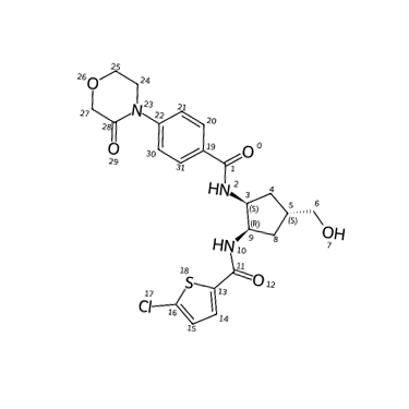 O=C(N[C@H]1C[C@H](CO)C[C@H]1NC(=O)c1ccc(Cl)s1)c1ccc(N2CCOCC2=O)cc1